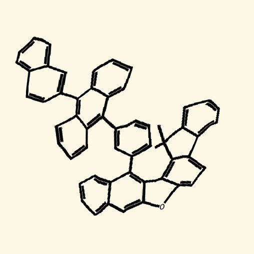 CC1(C)c2ccccc2-c2ccc3oc4cc5ccccc5c(-c5cccc(-c6c7ccccc7c(-c7ccc8ccccc8c7)c7ccccc67)c5)c4c3c21